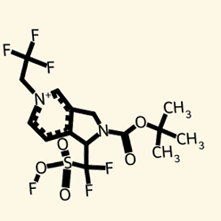 CC(C)(C)OC(=O)N1Cc2c[n+](CC(F)(F)F)ccc2C1C(F)(F)S(=O)(=O)OF